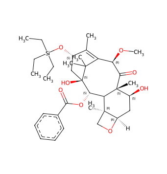 CC[Si](CC)(CC)O[C@H]1C[C@@]2(O)[C@@H](OC(=O)c3ccccc3)C3[C@]4(C)CO[C@@H]4C[C@H](O)[C@@]3(C)C(=O)[C@H](OC)C(=C1C)C2(C)C